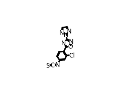 S=C=Nc1ccc(-c2nc(-n3nccn3)no2)c(Cl)c1